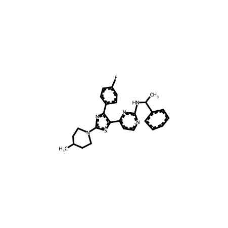 CC1CCN(c2nc(-c3ccc(F)cc3)c(-c3ccnc(NC(C)c4ccccc4)n3)s2)CC1